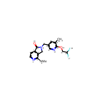 CNc1nccc2c1CN(Cc1cnc(OCC(F)F)c(C)c1)C2=O